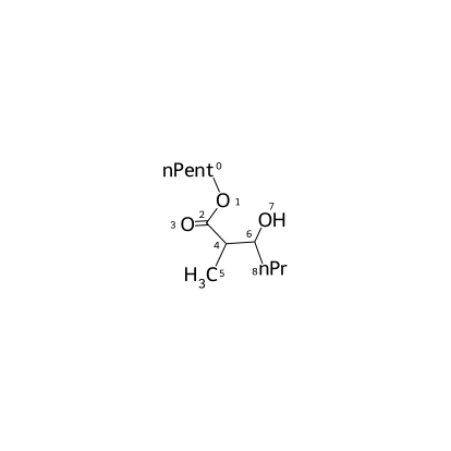 CCCCCOC(=O)C(C)C(O)CCC